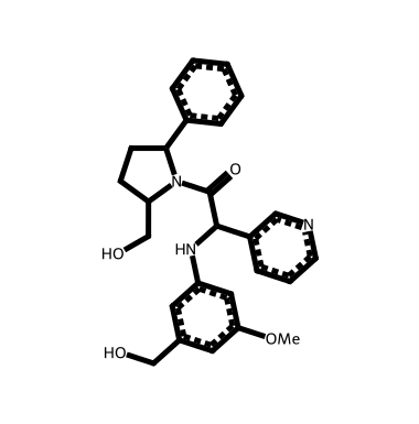 COc1cc(CO)cc(NC(C(=O)N2C(CO)CCC2c2ccccc2)c2cccnc2)c1